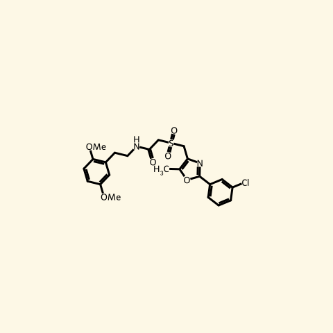 COc1ccc(OC)c(CCNC(=O)CS(=O)(=O)Cc2nc(-c3cccc(Cl)c3)oc2C)c1